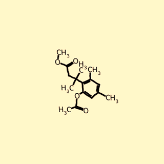 COC(=O)CC(C)(C)c1c(C)cc(C)cc1OC(C)=O